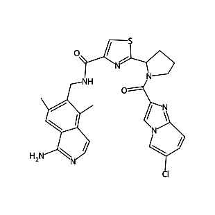 Cc1cc2c(N)nccc2c(C)c1CNC(=O)c1csc(C2CCCN2C(=O)c2cn3cc(Cl)ccc3n2)n1